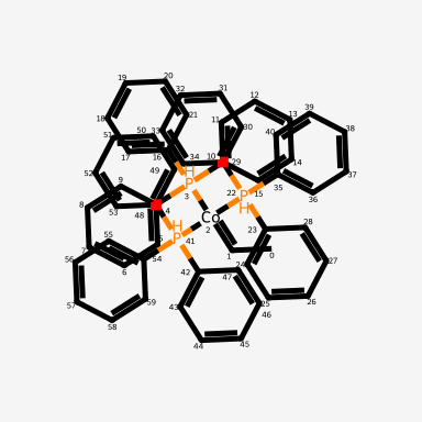 C[CH]=[Co]([PH](c1ccccc1)(c1ccccc1)c1ccccc1)([PH](c1ccccc1)(c1ccccc1)c1ccccc1)[PH](c1ccccc1)(c1ccccc1)c1ccccc1